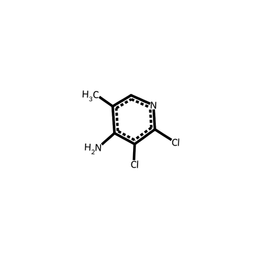 Cc1cnc(Cl)c(Cl)c1N